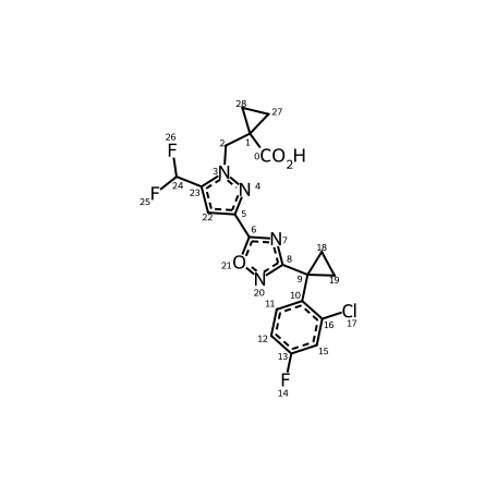 O=C(O)C1(Cn2nc(-c3nc(C4(c5ccc(F)cc5Cl)CC4)no3)cc2C(F)F)CC1